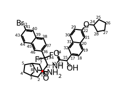 NC1CC2CCC(C1)N2C(=O)[C@@H](NC(=O)[C@H](O)c1ccc2cc(OC3CCCC3)ccc2c1)C(F)(F)c1ccc2cc(Br)ccc2c1